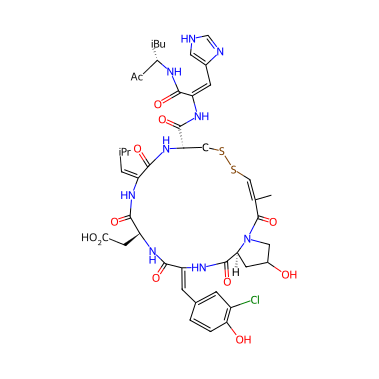 CCC(C)[C@H](NC(=O)/C(=C\c1c[nH]cn1)NC(=O)[C@@H]1CSS/C=C(/C)C(=O)N2CC(O)C[C@H]2C(=O)N/C(=C\c2ccc(O)c(Cl)c2)C(=O)N[C@@H](CC(=O)O)C(=O)N/C(=C/C(C)C)C(=O)N1)C(C)=O